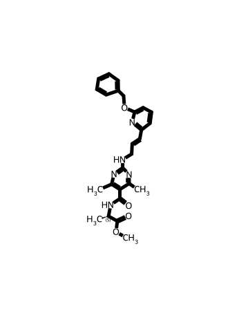 COC(=O)[C@H](C)NC(=O)c1c(C)nc(NCC=Cc2cccc(OCc3ccccc3)n2)nc1C